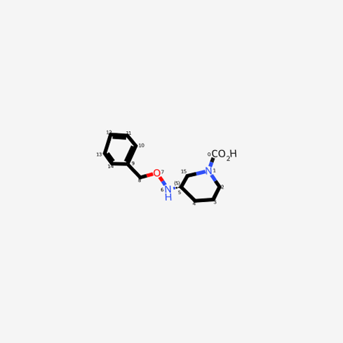 O=C(O)N1CCC[C@H](NOCc2ccccc2)C1